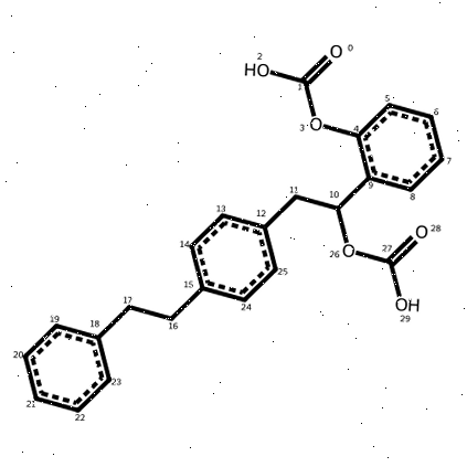 O=C(O)Oc1ccccc1C(Cc1ccc(CCc2ccccc2)cc1)OC(=O)O